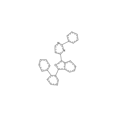 c1ccc(-c2nccc(-c3oc(-c4ccccc4-c4ccccc4)c4ccccc34)n2)cc1